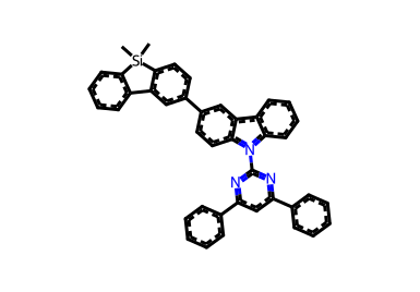 C[Si]1(C)c2ccccc2-c2cc(-c3ccc4c(c3)c3ccccc3n4-c3nc(-c4ccccc4)cc(-c4ccccc4)n3)ccc21